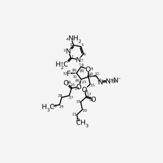 C=C1N=C(N)C=CN1[C@@H]1O[C@](CN=[N+]=[N-])(COC(=O)CCCC)[C@@H](OC(=O)CCCC)[C@H]1F